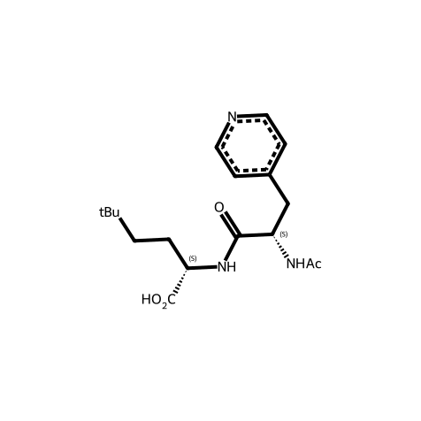 CC(=O)N[C@@H](Cc1ccncc1)C(=O)N[C@@H](CCC(C)(C)C)C(=O)O